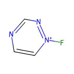 F[n+]1ccncn1